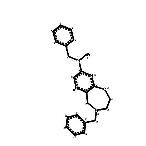 CC(C)N(Cc1ccccc1)c1cnc2c(n1)OCCN(Cc1ccccc1)C2